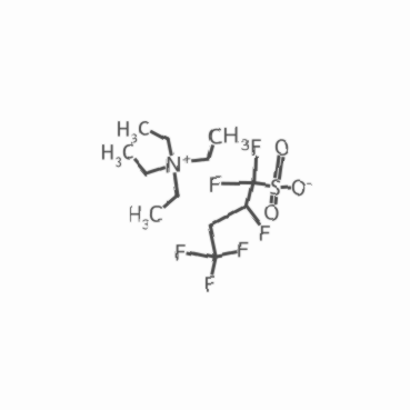 CC[N+](CC)(CC)CC.O=S(=O)([O-])C(F)(F)C(F)CC(F)(F)F